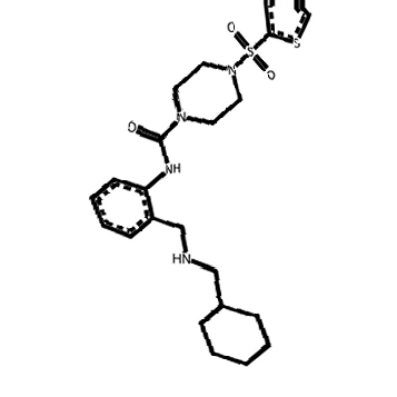 O=C(Nc1ccccc1CNCC1CCCCC1)N1CCN(S(=O)(=O)c2cccs2)CC1